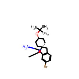 BC(B)(B)O[C@H]1CC[C@]2(CC1)Cc1ccc(Br)cc1C21N=C(C)C(N)=N1